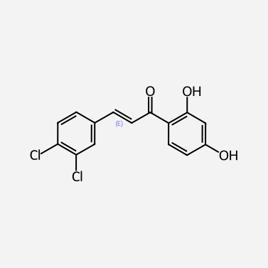 O=C(/C=C/c1ccc(Cl)c(Cl)c1)c1ccc(O)cc1O